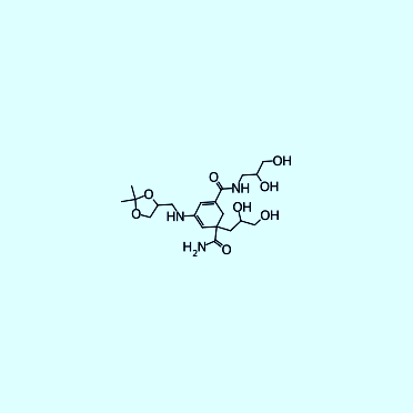 CC1(C)OCC(CNC2=CC(CC(O)CO)(C(N)=O)CC(C(=O)NCC(O)CO)=C2)O1